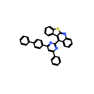 c1ccc(-c2ccc(-c3cc(-c4ccccc4)nc(-c4c5ccccc5nc5sc6ccccc6c45)n3)cc2)cc1